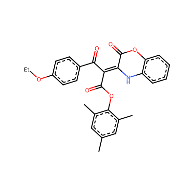 CCOc1ccc(C(=O)C(C(=O)Oc2c(C)cc(C)cc2C)=C2Nc3ccccc3OC2=O)cc1